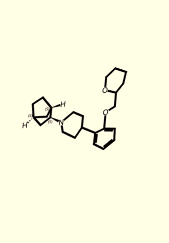 c1ccc(C2CCN([C@H]3C[C@H]4CC[C@H]3C4)CC2)c(OCC2CCCCO2)c1